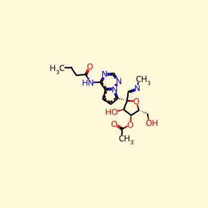 CCCC(=O)Nc1ncnn2c([C@]3(C=NC)O[C@H](CO)[C@@H](OC(C)=O)[C@H]3O)ccc12